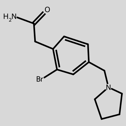 NC(=O)Cc1ccc(CN2CCCC2)cc1Br